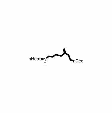 C=C(CCCCCCCCCCCC)CCCCNCCCCCCC